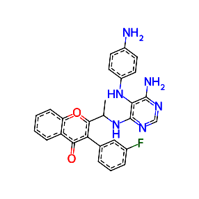 CC(Nc1ncnc(N)c1Nc1ccc(N)cc1)c1oc2ccccc2c(=O)c1-c1cccc(F)c1